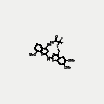 COc1cc2nc(Nc3nc(O)c4cccc(OC)c4n3)nc(CF)c2cc1OC.O=C(O)C(F)(F)F